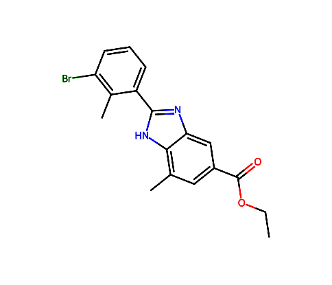 CCOC(=O)c1cc(C)c2[nH]c(-c3cccc(Br)c3C)nc2c1